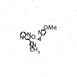 COc1ccc([C@H]2C[C@@H]2COc2nc3cccnc3cc2-c2cnn(C)c2)nc1